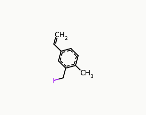 C=Cc1ccc(C)c(CI)c1